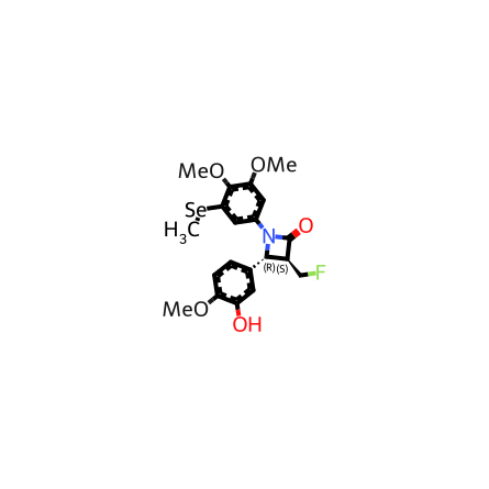 COc1ccc([C@H]2[C@H](CF)C(=O)N2c2cc(OC)c(OC)c([Se]C)c2)cc1O